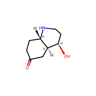 O=C1CC[C@@H]2NCC[C@@H](O)[C@H]2C1